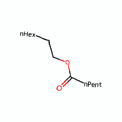 [CH2]CCCCCCCOC(=O)CCCCC